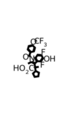 Cc1c([C@](C)(C(=O)O)C2CCCC2)c2c(F)c(O)c(F)cc2n1C(=O)c1ccc(OC(F)(F)F)cc1